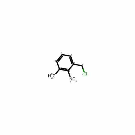 Cc1cccc(CCl)c1[N+](=O)[O-]